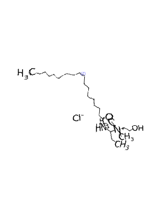 CCCCCCCC/C=C\CCCCCCCC(=O)NC(CC)[N+](C)(C)CCO.[Cl-]